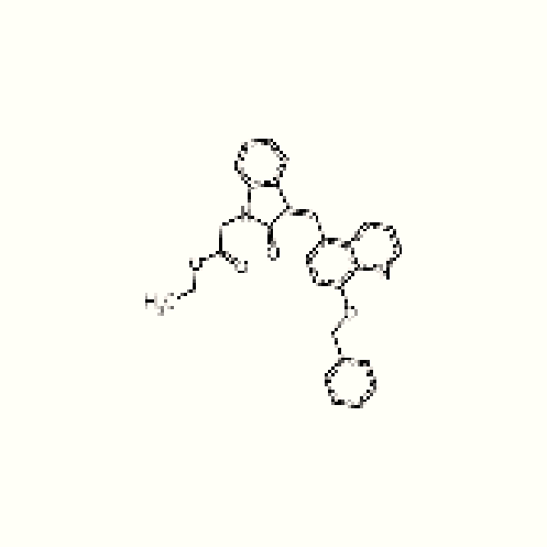 CCOC(=O)CN1C(=O)C(=Cc2ccc(OCc3ccccc3)c3ncccc23)c2ccccc21